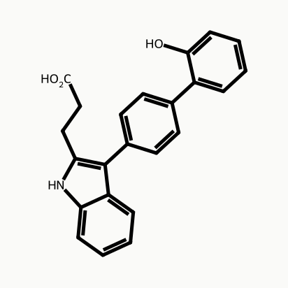 O=C(O)CCc1[nH]c2ccccc2c1-c1ccc(-c2ccccc2O)cc1